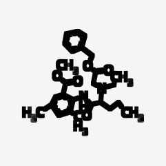 CCCC(C(=O)Nc1c(C)cc(C)cc1C(=O)OC)N(CC)CC(=O)OCc1ccccc1